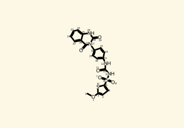 COc1ccc(S(=O)(=O)NC(=O)Nc2ccc(-n3c(=O)[nH]c4ccccc4c3=O)cc2)s1